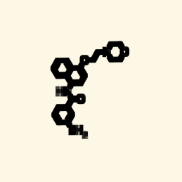 Bc1cccc(C(=O)Nc2ccc(OCCN3CCOCC3)c3ccccc23)c1